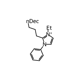 CCCCCCCCCCCCCc1n(-c2ccccc2)cc[n+]1CC